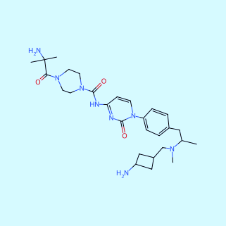 CC(Cc1ccc(-n2ccc(NC(=O)N3CCN(C(=O)C(C)(C)N)CC3)nc2=O)cc1)N(C)CC1CC(N)C1